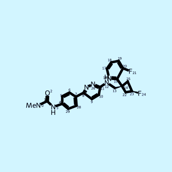 CNC(=O)Nc1ccc(-c2ccc(NC[C@]3(c4ncccc4F)C[C@H](F)C3)nn2)cc1